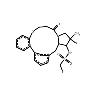 CC1(F)CN2C(=O)CCOc3ccccc3-c3cccc(c3)CC2C1NS(=O)(=O)CF